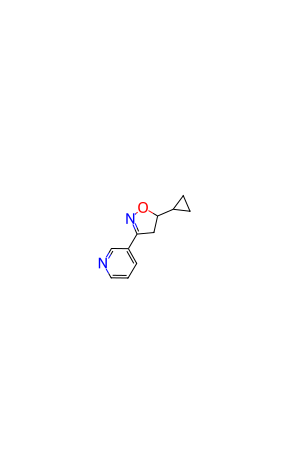 c1cncc(C2=NOC(C3CC3)C2)c1